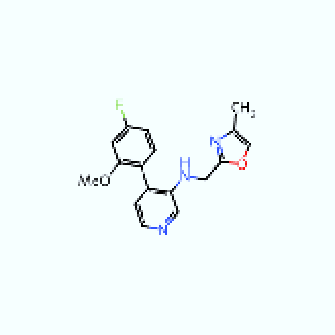 COc1cc(F)ccc1-c1ccncc1NCc1nc(C)co1